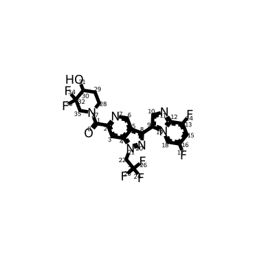 O=C(c1cc2c(cn1)c(-c1cnc3c(F)cc(F)cn13)nn2CC(F)(F)F)N1CCC(O)C(F)(F)C1